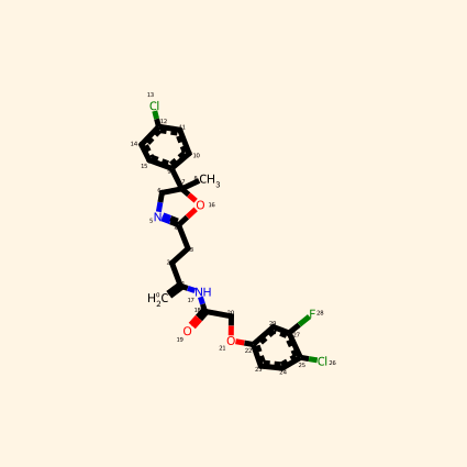 C=C(CCC1=NCC(C)(c2ccc(Cl)cc2)O1)NC(=O)COc1ccc(Cl)c(F)c1